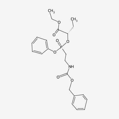 CCOC(=O)[C@H](CC)OP(=O)(CCNC(=O)OCc1ccccc1)Oc1ccccc1